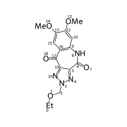 CCOCn1nc2c(=O)[nH]c3cc(OC)c(OC)cc3c(=O)c2n1